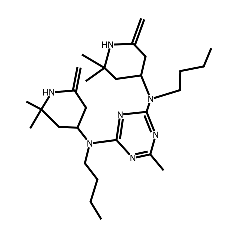 C=C1CC(N(CCCC)c2nc(C)nc(N(CCCC)C3CC(=C)NC(C)(C)C3)n2)CC(C)(C)N1